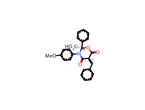 COc1ccc(N2C(=O)/C(=C\c3ccccc3)C(=O)O[C@]2(C(=O)O)c2ccccc2)cc1